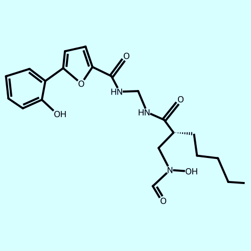 CCCCC[C@H](CN(O)C=O)C(=O)NCNC(=O)c1ccc(-c2ccccc2O)o1